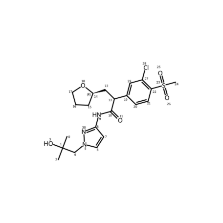 CC(C)(O)Cn1ccc(NC(=O)C(C[C@H]2CCCO2)c2ccc(S(C)(=O)=O)c(Cl)c2)n1